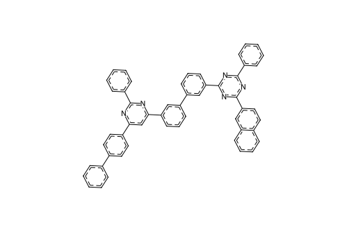 c1ccc(-c2ccc(-c3cc(-c4cccc(-c5cccc(-c6nc(-c7ccccc7)nc(-c7ccc8ccccc8c7)n6)c5)c4)nc(-c4ccccc4)n3)cc2)cc1